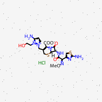 CO/N=C(\C(=O)N[C@@H]1C(=O)N2C(C(=O)[O-])=C(C[n+]3ccc(N)n3CCO)CS[C@H]12)c1csc(N)n1.Cl